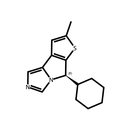 Cc1cc2c(s1)[C@@H](C1CCCCC1)n1cncc1-2